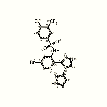 O=S(=O)(Nc1cc(Br)cnc1-c1nncn1-c1cc[nH]n1)c1ccc(Cl)c(C(F)(F)F)c1